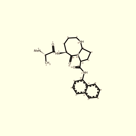 CN[C@@H](C)C(=O)N[C@H]1CCCNC2CCC(C(=O)Nc3cccc4ccccc34)N2C1=O